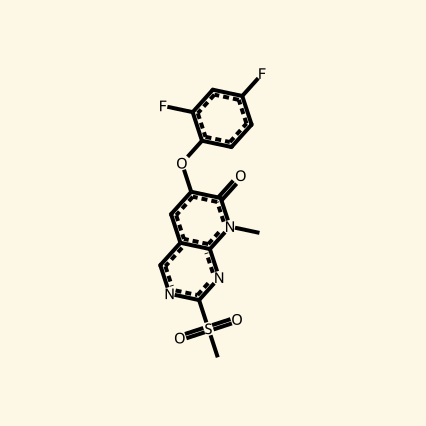 Cn1c(=O)c(Oc2ccc(F)cc2F)cc2cnc(S(C)(=O)=O)nc21